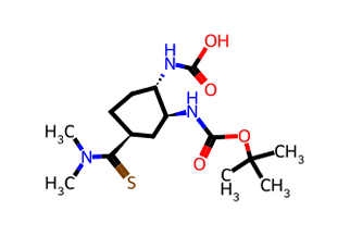 CN(C)C(=S)[C@H]1CC[C@H](NC(=O)O)[C@@H](NC(=O)OC(C)(C)C)C1